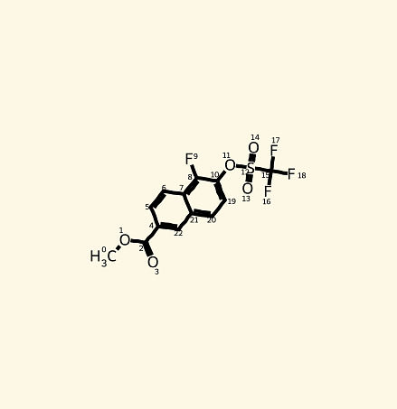 COC(=O)c1ccc2c(F)c(OS(=O)(=O)C(F)(F)F)ccc2c1